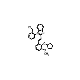 COc1cccc(/C=C/c2nc3ccccc3n2-c2ccccc2CO)c1OC1CCCC1